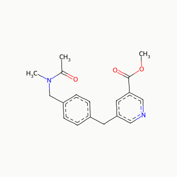 COC(=O)c1cncc(Cc2ccc(CN(C)C(C)=O)cc2)c1